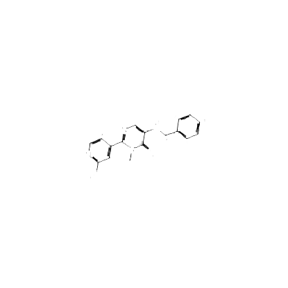 Cn1c(-c2ccnc(Cl)c2)ncc(OCc2ccccc2)c1=O